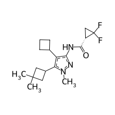 Cn1nc(NC(=O)[C@@H]2CC2(F)F)c(C2CCC2)c1C1CC(C)(C)C1